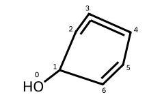 OC1C=C=CC=C1